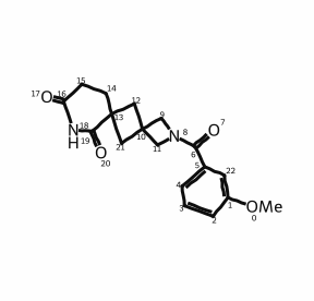 COc1cccc(C(=O)N2CC3(C2)CC2(CCC(=O)NC2=O)C3)c1